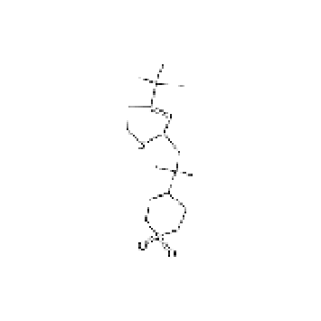 CC(C)(C)C1=CC(CC(C)(C)C2CCS(=O)(=O)CC2)SCC1